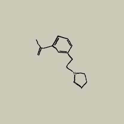 C=C(C)c1cccc(CCN2CCCC2)c1